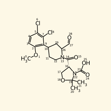 COc1ccc(Cl)c(Cl)c1C1CCN(C(=O)[C@H]2COC(C)(C)N2C(=O)O)C(C=O)C1